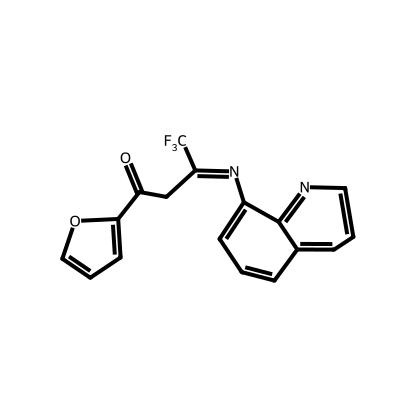 O=C(C/C(=N\c1cccc2cccnc12)C(F)(F)F)c1ccco1